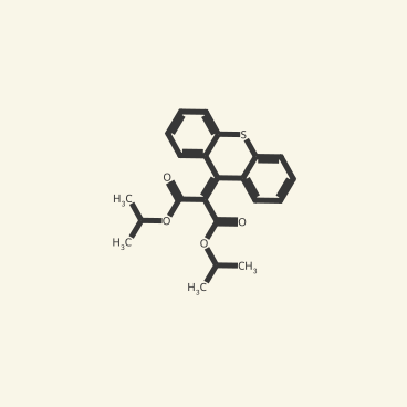 CC(C)OC(=O)C(C(=O)OC(C)C)=C1c2ccccc2Sc2ccccc21